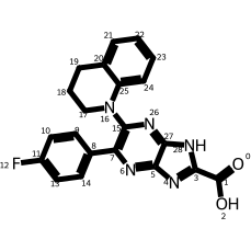 O=C(O)c1nc2nc(-c3ccc(F)cc3)c(N3CCCc4ccccc43)nc2[nH]1